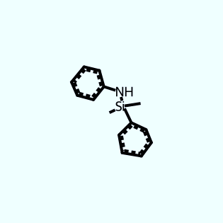 C[Si](C)(Nc1ccccc1)c1ccccc1